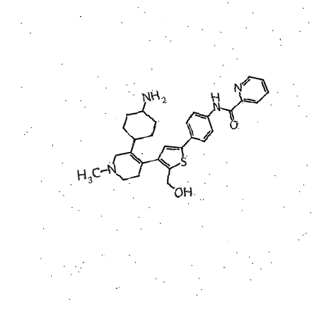 CN1CCC(c2cc(-c3ccc(NC(=O)c4ccccn4)cc3)sc2CO)=C(C2CCC(N)CC2)C1